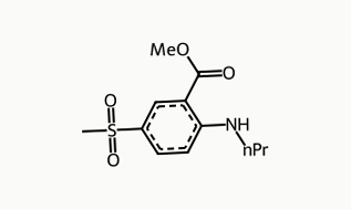 CCCNc1ccc(S(C)(=O)=O)cc1C(=O)OC